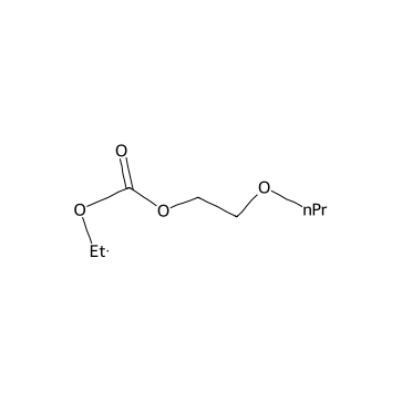 C[CH]OC(=O)OCCOCCC